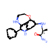 C[C@H](Nc1cc2c3c(c(-c4ccccc4)[nH]c3c1)NCCO2)C(N)=O